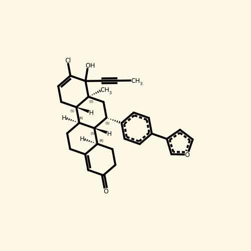 CC#CC1(O)C(Cl)=CC[C@H]2[C@@H]3CCC4=CC(=O)CC[C@@H]4[C@H]3[C@@H](c3ccc(-c4ccoc4)cc3)C[C@@]21C